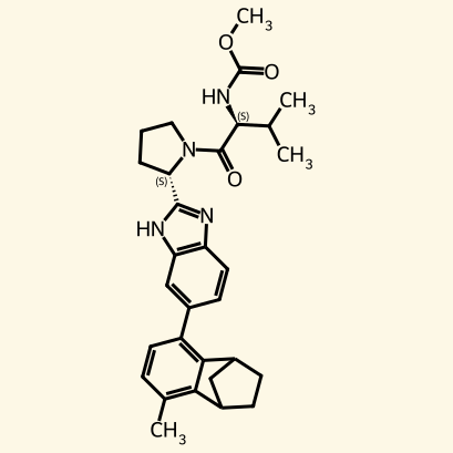 COC(=O)N[C@H](C(=O)N1CCC[C@H]1c1nc2ccc(-c3ccc(C)c4c3C3CCC4C3)cc2[nH]1)C(C)C